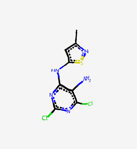 Cc1cc(Nc2nc(Cl)nc(Cl)c2N)sn1